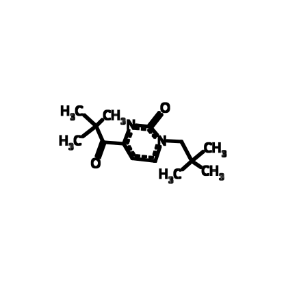 CC(C)(C)Cn1ccc(C(=O)C(C)(C)C)nc1=O